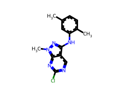 Cc1ccc(C)c(Nc2nn(C)c3nc(Cl)ncc23)c1